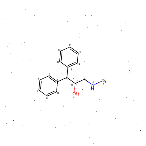 CC(C)NC[C@H](O)C(c1ccccc1)c1ccccc1